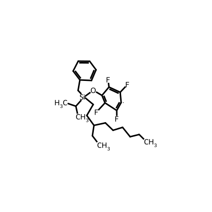 CCCCCCC(CC)CC[Si](Cc1ccccc1)(Oc1c(F)c(F)[c]c(F)c1F)C(C)C